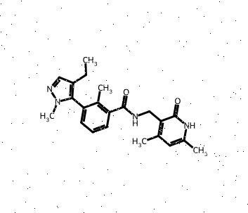 CCc1cnn(C)c1-c1cccc(C(=O)NCc2c(C)cc(C)[nH]c2=O)c1C